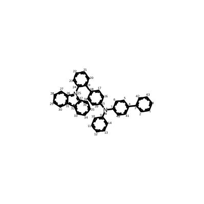 c1ccc(-c2ccc(N(c3ccccc3)c3ccc(-c4ccccc4-n4c5ccccc5c5ccccc54)cc3)cc2)cc1